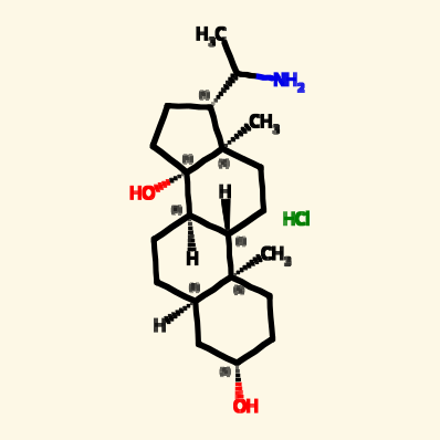 CC(N)[C@H]1CC[C@]2(O)[C@@H]3CC[C@@H]4C[C@@H](O)CC[C@]4(C)[C@H]3CC[C@]12C.Cl